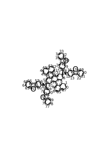 c1ccc2c(-c3c4ccc(N(c5ccc6c(c5)oc5ccccc56)c5ccc6c(c5)oc5ccccc56)cc4c(-c4cccc5ccccc45)c4ccc(N(c5ccc6c(c5)oc5ccccc56)c5ccc6c(c5)oc5ccccc56)cc34)cccc2c1